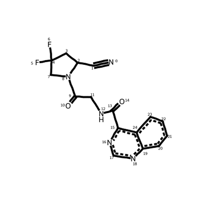 N#CC1CC(F)(F)CN1C(=O)CNC(=O)c1ncnc2ccccc12